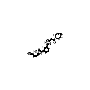 N=C/C=C\c1nc(-c2cccc(-c3noc(CC(=O)N4CCNCC4)n3)c2)c[nH]1